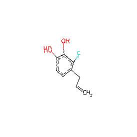 C=CCc1ccc(O)c(O)c1F